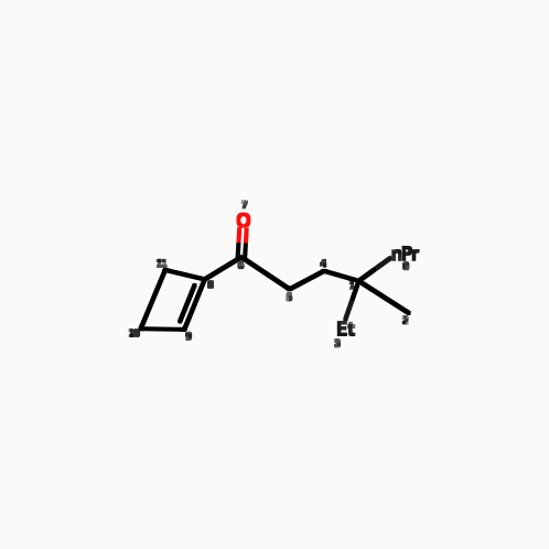 CCCC(C)(CC)CCC(=O)C1=CCC1